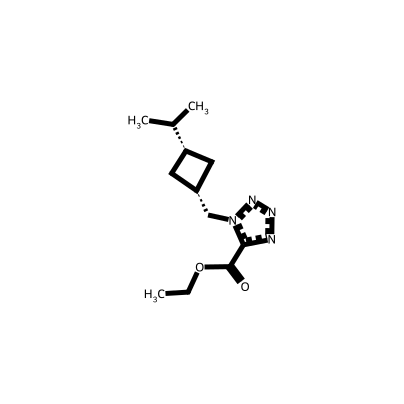 CCOC(=O)c1nnnn1C[C@H]1C[C@@H](C(C)C)C1